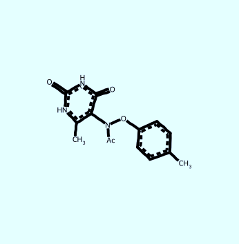 CC(=O)N(Oc1ccc(C)cc1)c1c(C)[nH]c(=O)[nH]c1=O